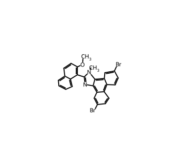 COc1ccc2ccccc2c1-c1nc2c3cc(Br)ccc3c3ccc(Br)cc3c2n1C